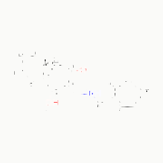 COC(=O)[C@H](CNCc1ccccc1)C(O)c1ccccc1